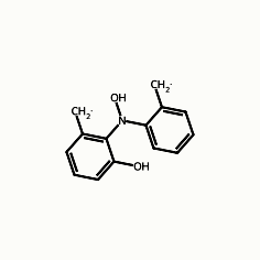 [CH2]c1ccccc1N(O)c1c([CH2])cccc1O